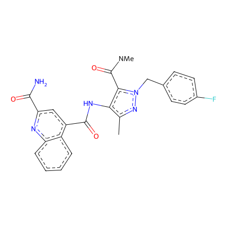 CNC(=O)c1c(NC(=O)c2cc(C(N)=O)nc3ccccc23)c(C)nn1Cc1ccc(F)cc1